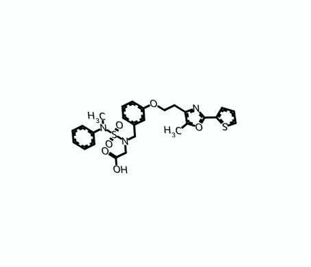 Cc1oc(-c2cccs2)nc1CCOc1cccc(CN(CC(=O)O)S(=O)(=O)N(C)c2ccccc2)c1